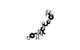 COc1ccc(CNc2nc(C)c3c(n2)CN(C(=O)CC2CN(c4ccnc(C(F)(F)F)c4)C2)C3)cc1